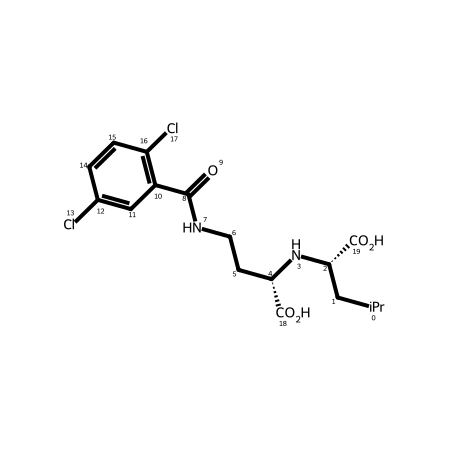 CC(C)C[C@H](N[C@@H](CCNC(=O)c1cc(Cl)ccc1Cl)C(=O)O)C(=O)O